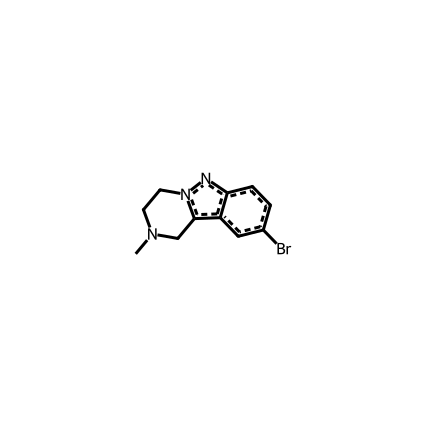 CN1CCn2nc3ccc(Br)cc3c2C1